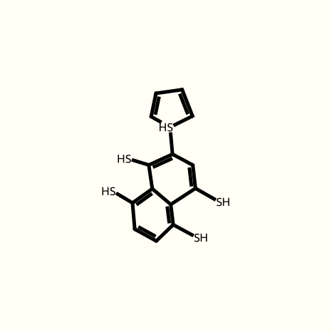 Sc1ccc(S)c2c(S)c([SH]3C=CC=C3)cc(S)c12